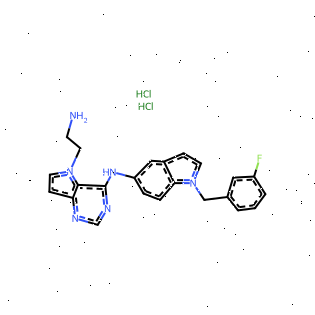 Cl.Cl.NCCn1ccc2ncnc(Nc3ccc4c(ccn4Cc4cccc(F)c4)c3)c21